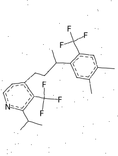 Cc1cc(C(C)CCc2ccnc(C(C)C)c2C(F)(F)F)c(C(F)(F)F)cc1C